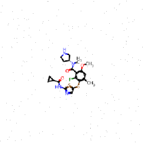 COc1cc(C)c(Sc2cnc(NC(=O)C3CC3)s2)c(F)c1C(=O)N(C)[C@@H]1CCNC1